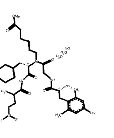 COC(=O)CCCCCN(C(=O)CNC(=O)[C@H](N)Cc1c(C)cc(O)cc1C)[C@@H](CC1CCCCC1)C(=O)NC(=O)C(N)CC[S+](C)[O-].Cl.O.O